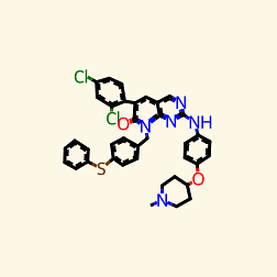 CN1CCC(Oc2ccc(Nc3ncc4cc(-c5ccc(Cl)cc5Cl)c(=O)n(Cc5ccc(Sc6ccccc6)cc5)c4n3)cc2)CC1